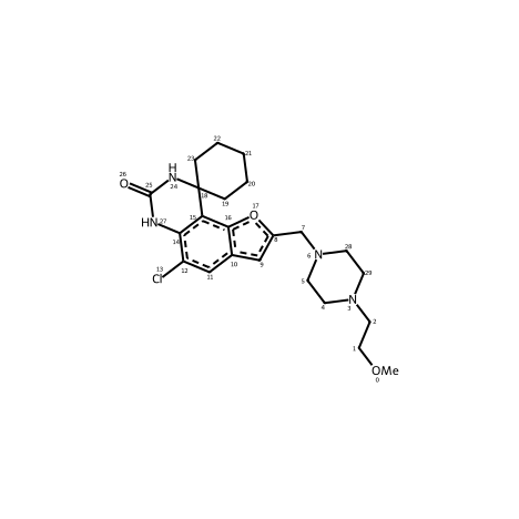 COCCN1CCN(Cc2cc3cc(Cl)c4c(c3o2)C2(CCCCC2)NC(=O)N4)CC1